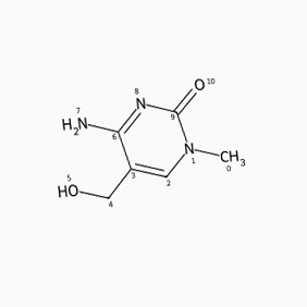 Cn1cc(CO)c(N)nc1=O